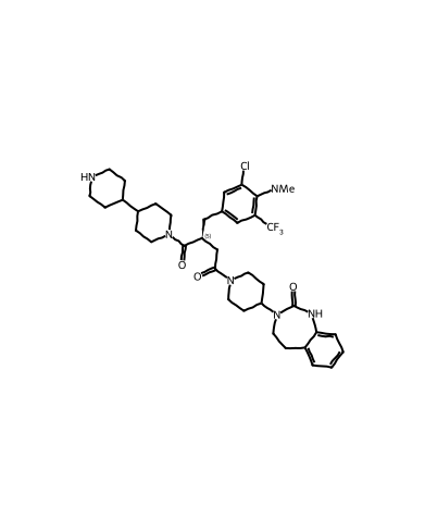 CNc1c(Cl)cc(C[C@@H](CC(=O)N2CCC(N3CCc4ccccc4NC3=O)CC2)C(=O)N2CCC(C3CCNCC3)CC2)cc1C(F)(F)F